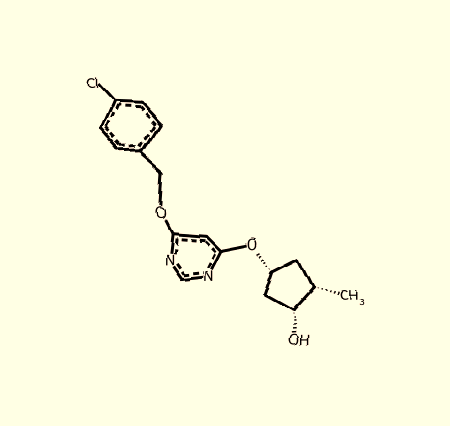 C[C@H]1C[C@@H](Oc2cc(OCc3ccc(Cl)cc3)ncn2)C[C@H]1O